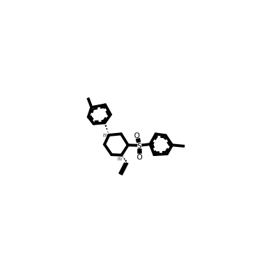 C=C[C@@H]1CC[C@H](c2ccc(C)cc2)CC1S(=O)(=O)c1ccc(C)cc1